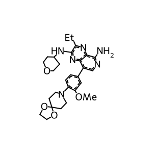 CCc1nc2c(N)ncc(-c3ccc(N4CCC5(CC4)OCCO5)c(OC)c3)c2nc1NC1CCOCC1